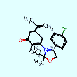 C=C(C)C1CC(=O)C(C)=C(N2[C@H](c3ccc(Br)cc3)COC2(C)C)C1